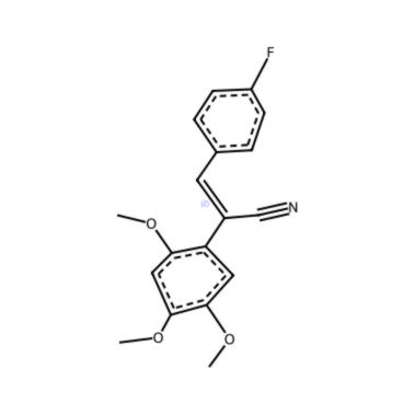 COc1cc(OC)c(/C(C#N)=C/c2ccc(F)cc2)cc1OC